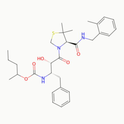 CCCC(C)OC(=O)N[C@@H](Cc1ccccc1)[C@H](O)C(=O)N1CSC(C)(C)[C@H]1C(=O)NCc1ccccc1C